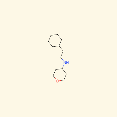 C1CCC(CCNC2CCOCC2)CC1